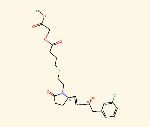 CC(C)OC(=O)COC(=O)CCCSCCN1C(=O)CC[C@@H]1/C=C/[C@@H](O)Cc1cccc(Cl)c1